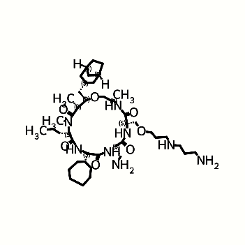 CCC[C@H]1C(=O)N[C@@H](C2CCCCCC2)C(=O)N[C@@H](CN)C(=O)N[C@@H](COCCCNCCCN)C(=O)N[C@H](C)CO[C@H](C[C@@H]2C[C@@H]3CC[C@@H](C3)C2)[C@@H](C)C(=O)N1C